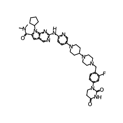 CN(C)C(=O)c1cc2cnc(Nc3ccc(N4CCC(N5CCN(Cc6ccc(N7CCC(=O)NC7=O)cc6F)CC5)CC4)cn3)nc2n1C1CCCC1